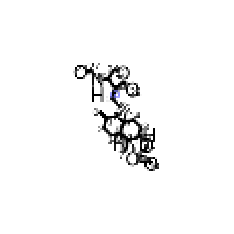 C=C1CC[C@@H]2[C@]3(C)COS(=O)O[C@@H]3CC[C@@]2(C)[C@@H]1C/C=C1\C(=O)OCC1NC=O